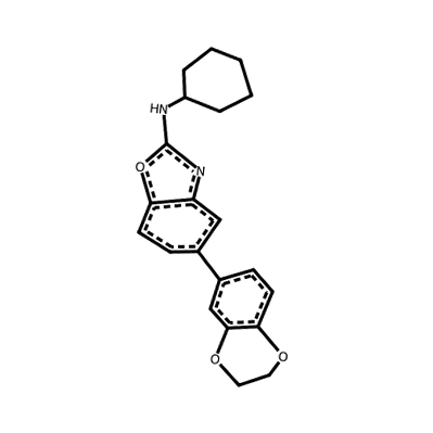 c1cc2c(cc1-c1ccc3oc(NC4CCCCC4)nc3c1)OCCO2